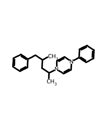 CC(Cc1ccccc1)CC(C)N1C=CN(c2ccccc2)C=C1